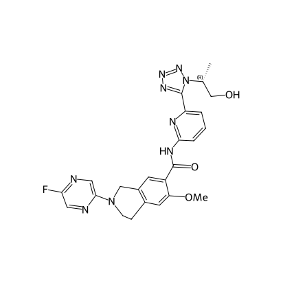 COc1cc2c(cc1C(=O)Nc1cccc(-c3nnnn3[C@H](C)CO)n1)CN(c1cnc(F)cn1)CC2